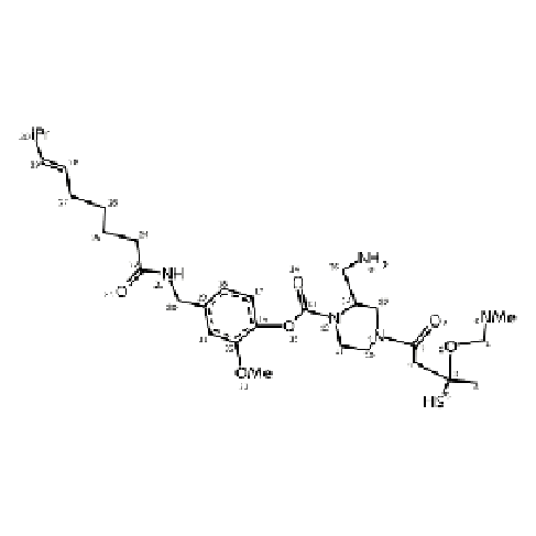 CNCOC(C)(S)CC(=O)N1CCN(C(=O)Oc2ccc(CNC(=O)CCCC/C=C/C(C)C)cc2OC)C(CN)C1